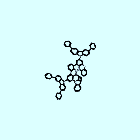 c1ccc(-c2ccc3c(c2)c2cc(-c4ccccc4)ccc2n3-c2cc3c4c(c2)-c2cccc5c2N(B4c2ccccc2S3)B2c3c-5cc(-n4c5ccc(-c6ccccc6)cc5c5cc(-c6ccccc6)ccc54)cc3-n3c4ccccc4c4cccc2c43)cc1